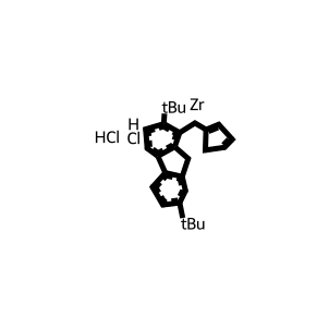 CC(C)(C)c1ccc2c(c1)Cc1c-2ccc(C(C)(C)C)c1CC1=CC=CC1.Cl.Cl.[Zr]